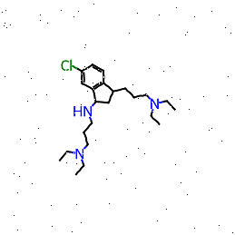 CCN(CC)CCCNC1CC(CCCN(CC)CC)c2ccc(Cl)cc21